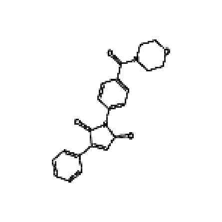 O=C(c1ccc(N2C(=O)C=C(c3ccccc3)C2=O)cc1)N1CCOCC1